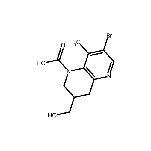 Cc1c(Br)cnc2c1N(C(=O)O)CC(CO)C2